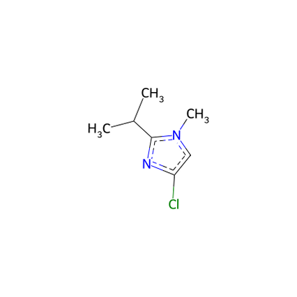 CC(C)c1nc(Cl)cn1C